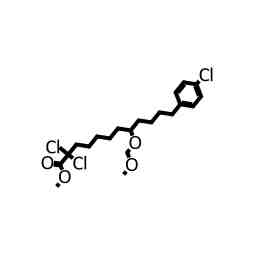 COCOC(CCCCCC(Cl)(Cl)C(=O)OC)CCCCc1ccc(Cl)cc1